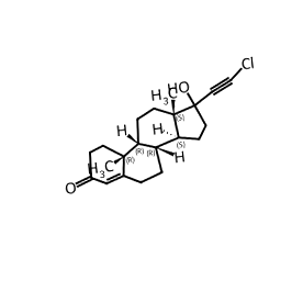 C[C@]12CCC(=O)C=C1CC[C@@H]1[C@H]2CC[C@@]2(C)[C@H]1CCC2(O)C#CCl